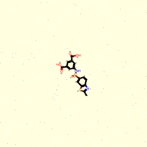 Cc1nc2ccc([S+]([O-])Nc3cc(C(=O)O)cc(C(=O)O)c3)cc2s1